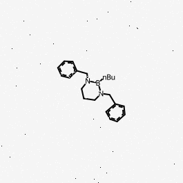 CCCCB1N(Cc2ccccc2)CCCN1Cc1ccccc1